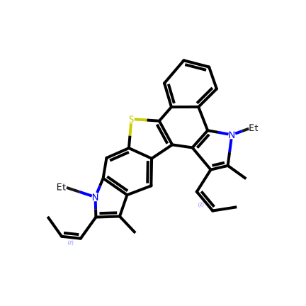 C/C=C\c1c(C)n(CC)c2c3ccccc3c3sc4cc5c(cc4c3c12)c(C)c(/C=C\C)n5CC